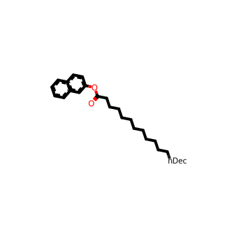 CCCCCCCCCCCCCCCCCCCCCC(=O)Oc1ccc2ccccc2c1